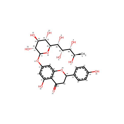 C[C@@H](O)[C@@H](O)[C@H](O)[C@@H](O)[C@H]1OC(Oc2cc(O)c3c(c2)OC(c2ccc(O)cc2)CC3=O)[C@H](O)[C@@H](O)[C@@H]1O